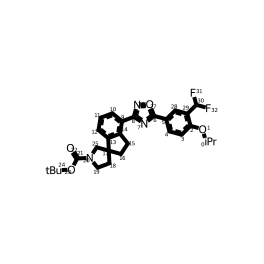 CC(C)Oc1ccc(-c2nc(-c3cccc4c3CCC43CCN(C(=O)OC(C)(C)C)C3)no2)cc1C(F)F